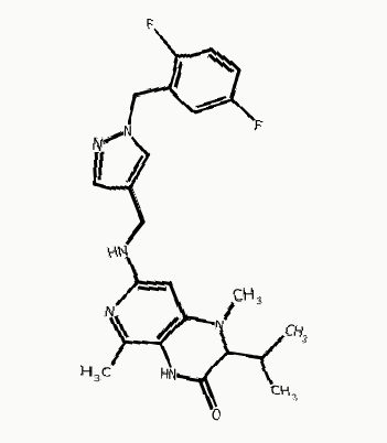 Cc1nc(NCc2cnn(Cc3cc(F)ccc3F)c2)cc2c1NC(=O)C(C(C)C)N2C